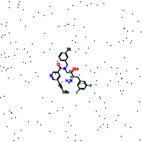 CCCCC#Cc1cncc(C(=O)N(Cc2cccc(CC)c2)C[C@@H](O)[C@@H](N)Cc2cc(F)cc(F)c2)c1